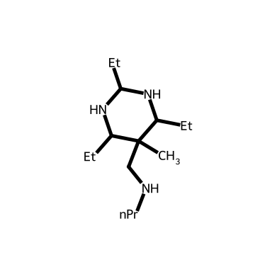 CCCNCC1(C)C(CC)NC(CC)NC1CC